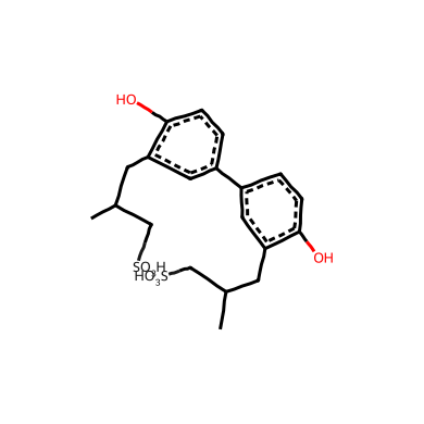 CC(Cc1cc(-c2ccc(O)c(CC(C)CS(=O)(=O)O)c2)ccc1O)CS(=O)(=O)O